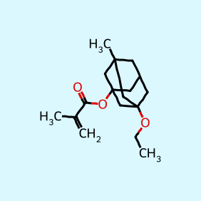 C=C(C)C(=O)OC12CC3CC(C)(CC(OCC)(C3)C1)C2